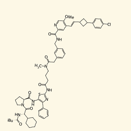 CC[C@@H](C)C(=O)N[C@H](C(=O)N1CCC[C@H]1C(=O)Nc1sc(NC(=O)CCCN(C)C(=O)Cc2cccc(CNC(=O)c3cc(/C=C/C4CC(c5ccc(Cl)cc5)C4)c(OC)cn3)c2)nc1-c1ccccc1)C1CCCCC1